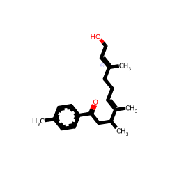 CC(=CCC/C(C)=C/CO)C(C)CC(=O)c1ccc(C)cc1